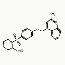 Cc1cc(COc2ccc(S(=O)(=O)N3CCCCC3C=O)cc2)c2ccccc2n1